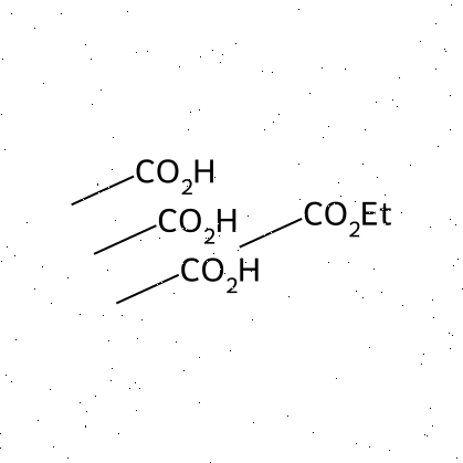 CC(=O)O.CC(=O)O.CC(=O)O.CCOC(C)=O